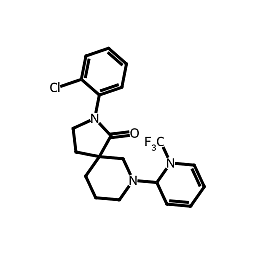 O=C1N(c2ccccc2Cl)CCC12CCCN(C1C=CC=CN1C(F)(F)F)C2